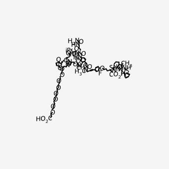 Cc1c(Nc2nc3ccccc3s2)nnc2c1CCCN2c1nc(C(=O)O)c(CCCOc2ccc(C#CCN(C)C(=O)OCc3ccc(NC(=O)[C@H](CCCNC(N)=O)NC(=O)[C@@H](NC(=O)CCOCCN4C(=O)C=CC4=O)C(C)C)cc3CN(C)C(=O)OCc3cn(CCOCCOCCOCCOCCOCCOCCOCCOCCC(=O)O)nn3)cc2F)s1